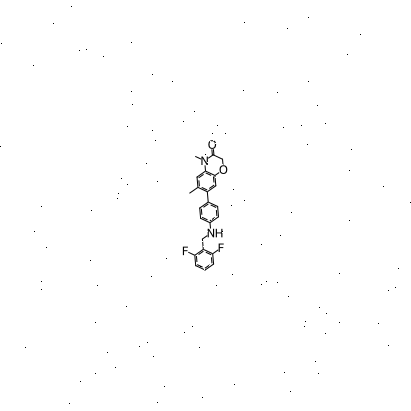 Cc1cc2c(cc1-c1ccc(NCc3c(F)cccc3F)cc1)OCC(=O)N2C